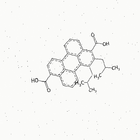 CC(C)Cc1c(C(=O)O)c2cccc3c4ccc(C(=O)O)c5cccc(c(c1CC(C)C)c23)c54